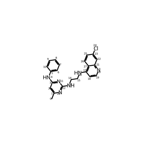 Cc1cc(Nc2ccccc2)nc(NCCNc2ccnc3cc(Cl)ccc23)n1